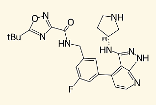 CC(C)(C)c1nc(C(=O)NCc2cc(F)cc(-c3ccnc4[nH]nc(N[C@@H]5CCNC5)c34)c2)no1